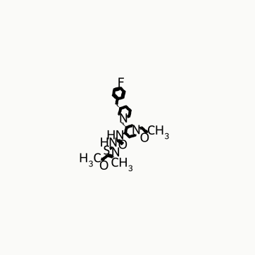 CC(=O)CN1CC[C@@H](NC(=O)Nc2nc(C)c(C(C)=O)s2)[C@H](CN2CCC[C@@H](Cc3ccc(F)cc3)C2)C1